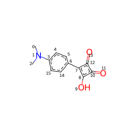 CN(C)c1ccc(-c2c(O)c(=O)c2=O)cc1